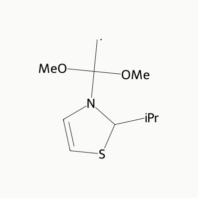 [CH2]C(OC)(OC)N1C=CSC1C(C)C